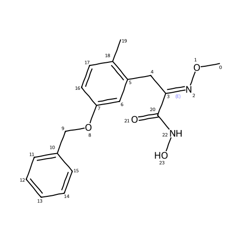 CO/N=C(\Cc1cc(OCc2ccccc2)ccc1C)C(=O)NO